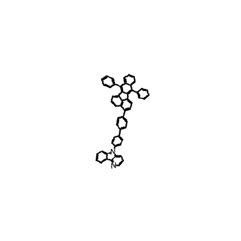 c1ccc(-c2c3c(c(-c4ccccc4)c4ccccc24)-c2ccc(-c4ccc(-c5ccc(-n6c7ccccc7c7ncccc76)cc5)cc4)c4cccc-3c24)cc1